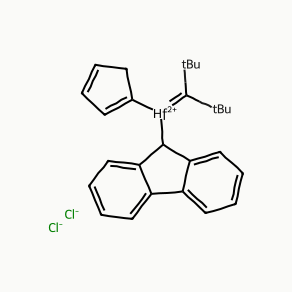 CC(C)(C)[C](=[Hf+2]([C]1=CC=CC1)[CH]1c2ccccc2-c2ccccc21)C(C)(C)C.[Cl-].[Cl-]